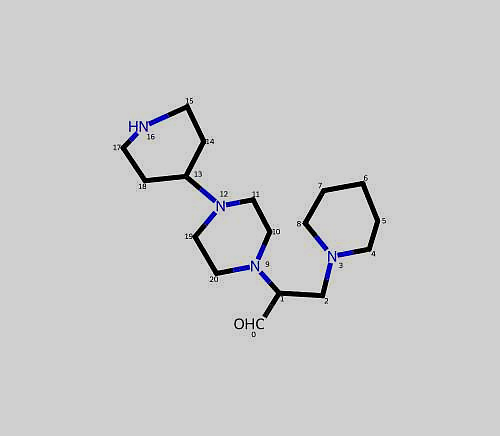 O=CC(CN1CCCCC1)N1CCN(C2CCNCC2)CC1